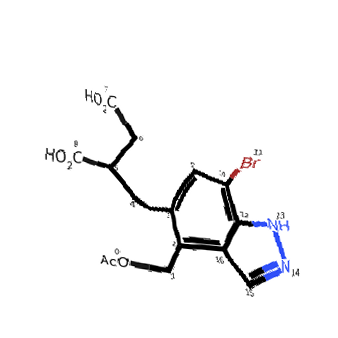 CC(=O)OCc1c(CC(CC(=O)O)C(=O)O)cc(Br)c2[nH]ncc12